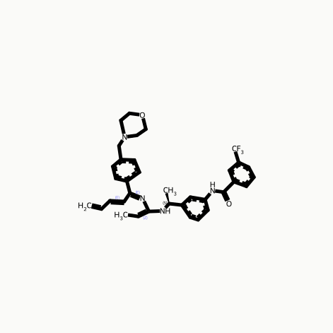 C=C/C=C/C(=N\C(=C/C)N[C@@H](C)c1cccc(NC(=O)c2cccc(C(F)(F)F)c2)c1)c1ccc(CN2CCOCC2)cc1